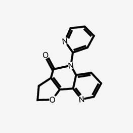 O=c1c2c(c3ncccc3n1-c1ccccn1)OCC2